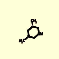 C[C@@H]1CNCN(C)C1